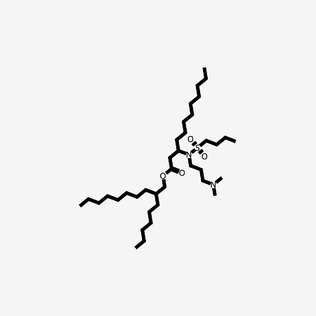 CCCCCCCCCC(CC(=O)OCC(CCCCCC)CCCCCCCC)N(CCCN(C)C)S(=O)(=O)CCCC